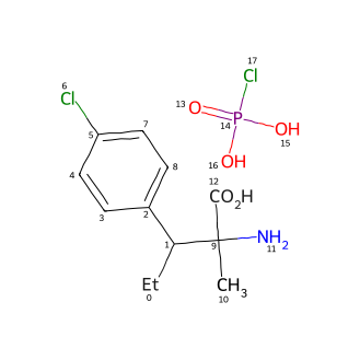 CCC(c1ccc(Cl)cc1)C(C)(N)C(=O)O.O=P(O)(O)Cl